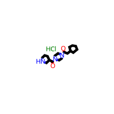 Cl.O=C(CC1CCCCC1)N1CCN(C(=O)C2CCCNC2)CC1